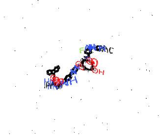 CC(=O)N1CCC(n2nnc3c(F)cc(/C=C(\C)[C@@H]4OC(=O)C[C@H](O)CC[C@@H](C)[C@@H](OC(=O)N5CC[N+](C)(Cc6ccc(NC(=O)[C@H](C)NC(=O)[C@@H](NC(=O)OCC7c8ccccc8-c8ccccc87)C(C)C)cc6)CC5)C=C[C@H]4C)cc32)CC1